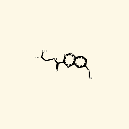 C[C@H](O)CNC(=O)c1nnc2ccc(SC(C)(C)C)cc2n1